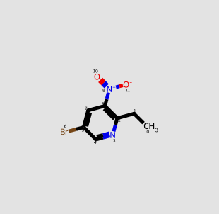 CCc1ncc(Br)cc1[N+](=O)[O-]